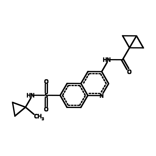 CC1(NS(=O)(=O)c2ccc3ncc(NC(=O)C45CC4C5)cc3c2)CC1